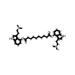 CN(C)CCc1c[nH]c2cccc(OC(=O)CCCCCCCCC(=O)Oc3cccc4[nH]cc(CCN(C)C)c34)c12